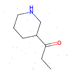 CCC(=O)C1CCCNC1